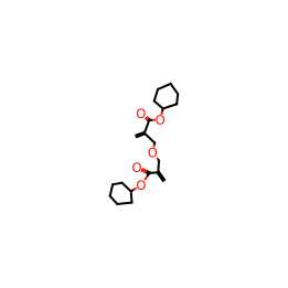 C=C(COCC(=C)C(=O)OC1CCCCC1)C(=O)OC1CCCCC1